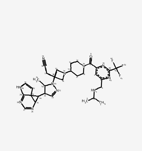 CC(C)NCc1cc(C(=O)N2CCC(N3CC(CC#N)(N4N=CC(C5C6N=CN=C7NC=CC765)C4C)C3)CC2)nc(C(F)(F)F)n1